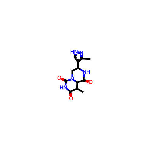 Cc1n[nH]cc1C1CN2C(=O)NC(=O)C(C)C2C(=O)N1